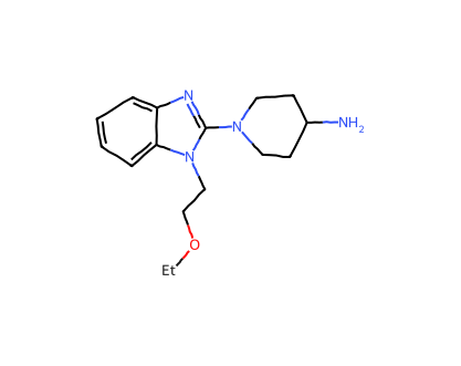 CCOCCn1c(N2CCC(N)CC2)nc2ccccc21